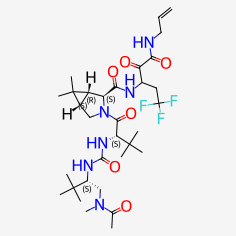 C=CCNC(=O)C(=O)C(CC(F)(F)F)NC(=O)[C@@H]1[C@@H]2[C@H](CN1C(=O)[C@@H](NC(=O)N[C@H](CN(C)C(C)=O)C(C)(C)C)C(C)(C)C)C2(C)C